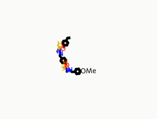 C=Cc1ccc(O[PH](=S)N(C)/N=C/c2ccc(O[PH](=S)N(C)/N=C/c3ccc(OC)cc3)cc2)cc1